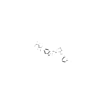 CC(=O)c1nn(CC(=O)N2C[C@H](F)C[C@H]2C(=O)Nc2cccc(Br)n2)c2ccc(O[C@@H]3CO[C@H]4[C@@H]3OC[C@H]4O)cc12